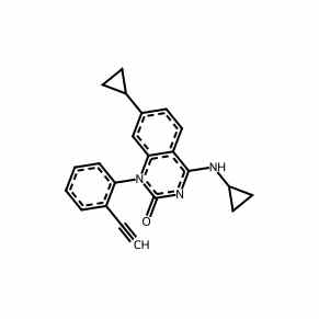 C#Cc1ccccc1-n1c(=O)nc(NC2CC2)c2ccc(C3CC3)cc21